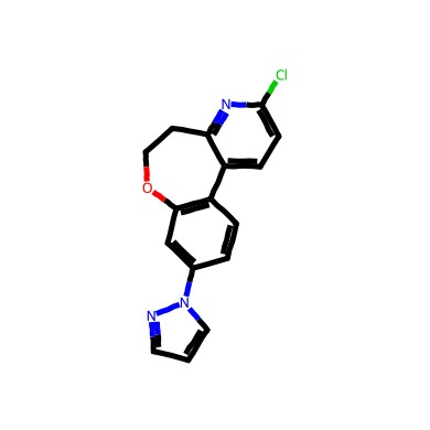 Clc1ccc2c(n1)CCOc1cc(-n3cccn3)ccc1-2